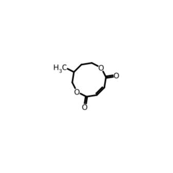 CC1CCOC(=O)C=CC(=O)OC1